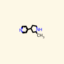 CC1CC(c2ccncc2)CCN1